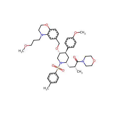 COCCCN1CCOc2ccc(CO[C@H]3CN(S(=O)(=O)c4ccc(C)cc4)[C@@H](C[C@@H](C)C(=O)N4CCOCC4)C[C@@H]3c3ccc(OC)cc3)cc21